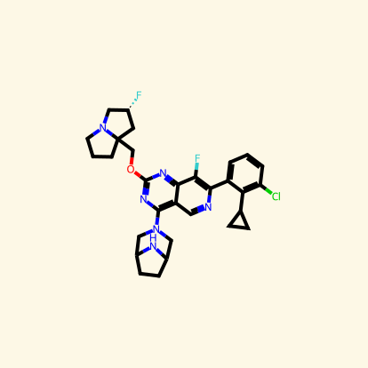 Fc1c(-c2cccc(Cl)c2C2CC2)ncc2c(N3CC4CCC(C3)N4)nc(OCC34CCCN3C[C@H](F)C4)nc12